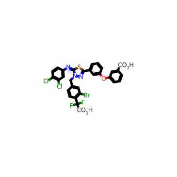 O=C(O)c1cccc(Oc2cccc(-c3nn(Cc4ccc(C(F)(F)C(=O)O)c(Br)c4)/c(=N\c4ccc(Cl)c(Cl)c4)s3)c2)c1